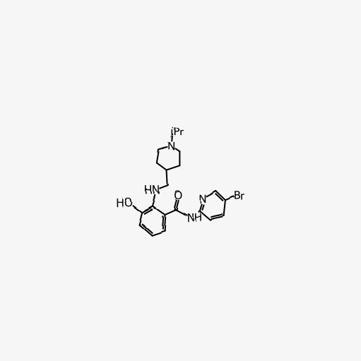 CC(C)N1CCC(CNc2c(O)cccc2C(=O)Nc2ccc(Br)cn2)CC1